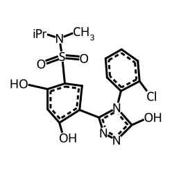 CC(C)N(C)S(=O)(=O)c1cc(-c2nnc(O)n2-c2ccccc2Cl)c(O)cc1O